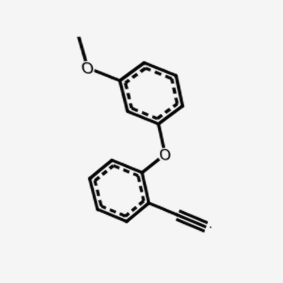 [C]#Cc1ccccc1Oc1cccc(OC)c1